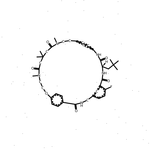 CN1CCOc2ccc(cc2)C(=O)NCc2ccc(F)c(c2)C(=O)N[C@@H](CC(C)(C)C)C(=O)Nc2ccc(cc2)CCN(C)C(=O)CC(C)(C)CC1=O